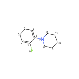 FC1=C[CH]CC=C1N1CCCCC1